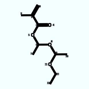 C=C(C)C(=O)OC(C)OC(C)OCC